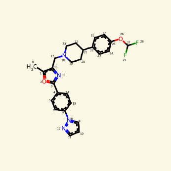 Cc1oc(-c2ccc(-n3cccn3)cc2)nc1CN1CCC(c2ccc(OC(F)F)cc2)CC1